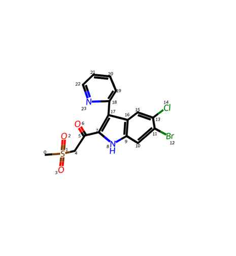 CS(=O)(=O)CC(=O)c1[nH]c2cc(Br)c(Cl)cc2c1-c1ccccn1